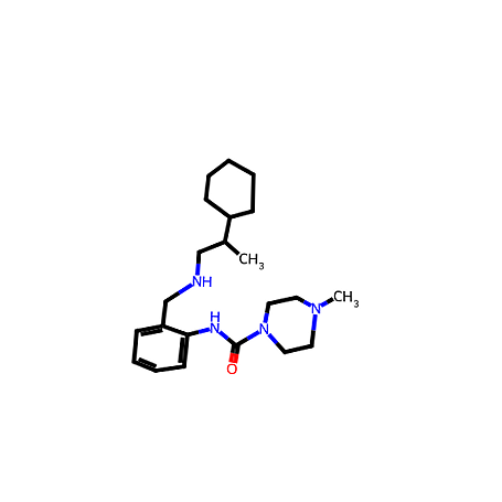 CC(CNCc1ccccc1NC(=O)N1CCN(C)CC1)C1CCCCC1